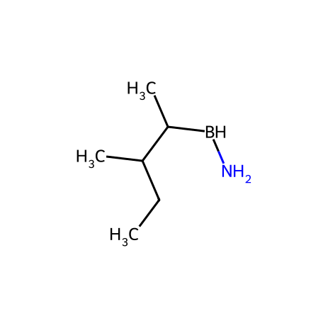 CCC(C)C(C)BN